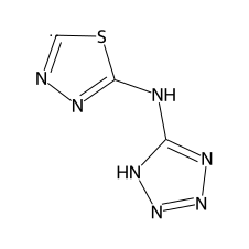 [c]1nnc(Nc2nnn[nH]2)s1